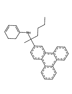 CCCCC(C)(NC1=CC=CCC1)c1ccc2c3ccccc3c3ccccc3c2c1